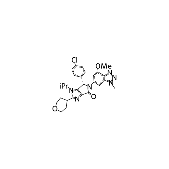 COc1cc(N2C(=O)c3nc(C4CCOCC4)n(C(C)C)c3[C@@H]2c2ccc(Cl)cc2)cc2c1nnn2C